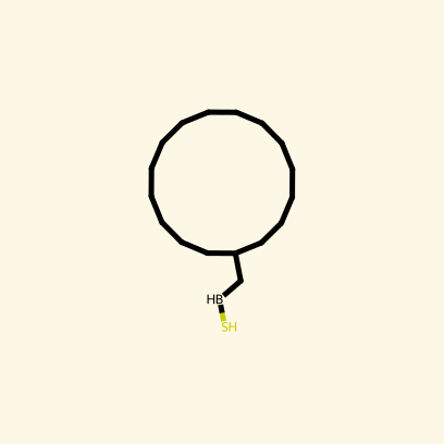 SBCC1CCCCCCCCCCCCCCC1